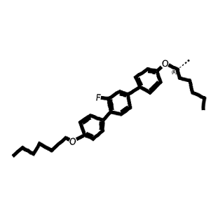 CCCCCCOc1ccc(-c2ccc(-c3ccc(O[C@H](C)CCCCC)cc3)cc2F)cc1